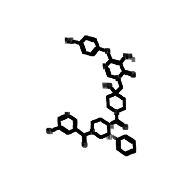 N#Cc1ccc(Oc2ncn(CC3(O)CCN(C(=O)[C@@H]4CCN(C(=O)c5cncc(Cl)c5)C[C@H]4c4ccccc4)CC3)c(=O)c2N)cc1